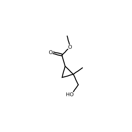 COC(=O)C1CC1(C)CO